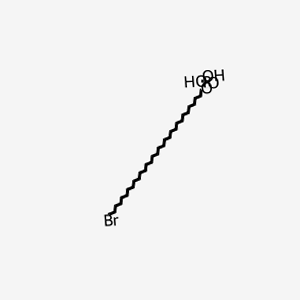 O=P(O)(O)OCCCCCCCCCCCCCCCCCCCCCCCCCCCCCCCBr